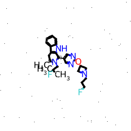 C[C@@H]1Cc2c([nH]c3ccccc23)[C@@H](c2cnc(OC3CN(CCCF)C3)nc2)N1CC(C)(C)F